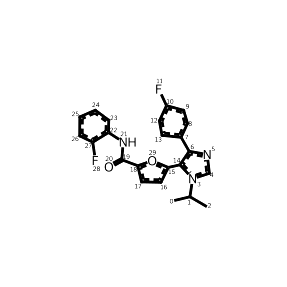 CC(C)n1cnc(-c2ccc(F)cc2)c1-c1ccc(C(=O)Nc2ccccc2F)o1